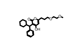 COCCOCCCc1cc(O)c(C(c2ccccc2)C2CCCCC2)c(=O)o1